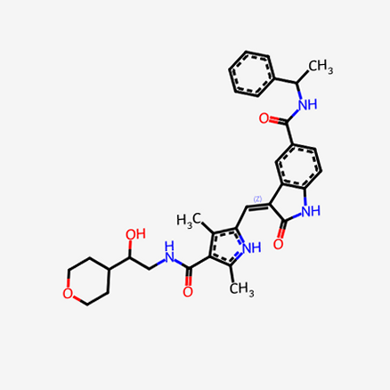 Cc1[nH]c(/C=C2\C(=O)Nc3ccc(C(=O)NC(C)c4ccccc4)cc32)c(C)c1C(=O)NCC(O)C1CCOCC1